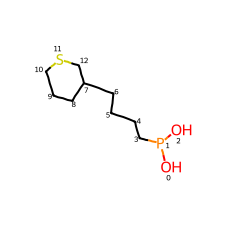 OP(O)CCCCC1CCCSC1